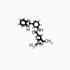 Cc1nn(C)c2sc(C(=O)N[C@@H]3CCC[C@H](c4nc5ccccc5[nH]4)C3)cc12